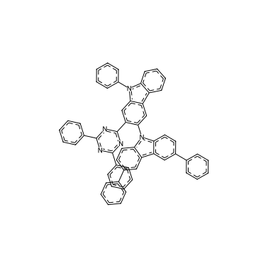 c1ccc(-c2ccc3c(c2)c2cc(-c4ccccc4)ccc2n3-c2cc3c4ccccc4n(-c4ccccc4)c3cc2-c2nc(-c3ccccc3)nc(-c3ccccc3)n2)cc1